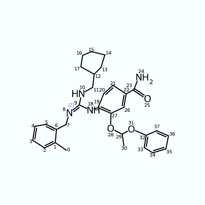 Cc1ccccc1C/N=C(/NCC1CCCCC1)Nc1ccc(C(N)=O)cc1OC(C)Oc1ccccc1